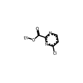 CCOC(=O)c1nccc(Cl)n1